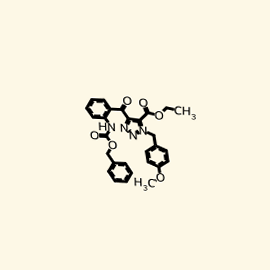 CCOC(=O)c1c(C(=O)c2ccccc2NC(=O)OCc2ccccc2)nnn1Cc1ccc(OC)cc1